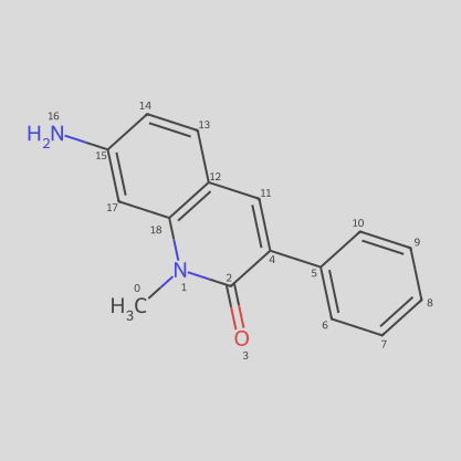 Cn1c(=O)c(-c2ccccc2)cc2ccc(N)cc21